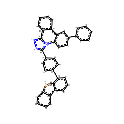 c1ccc(-c2ccc3c(c2)c2ccccc2c2nnc(-c4ccc(-c5cccc6c5sc5ccccc56)cc4)n32)cc1